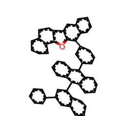 c1ccc(-c2cc(-c3c4ccccc4c(-c4cccc(-c5c6ccccc6cc6c5oc5c7ccccc7ccc65)c4)c4ccccc34)c3ccccc3c2)cc1